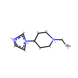 CC(C)(C)CN1CCC(n2ccnc2)CC1